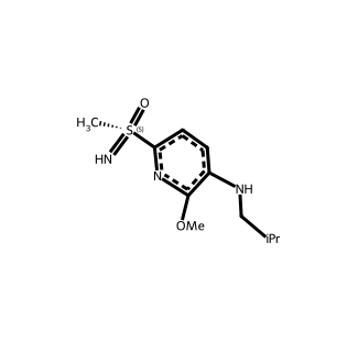 COc1nc([S@@](C)(=N)=O)ccc1NCC(C)C